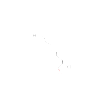 CCCCC/C=C/CC(C)C=O